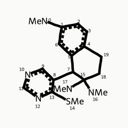 CNc1ccc2c(c1)C(c1cncnc1SC)C(NC)(NC)CC2